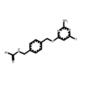 CC(C)C(=O)NCc1ccc(COc2cc(Cl)nc(N)n2)cc1